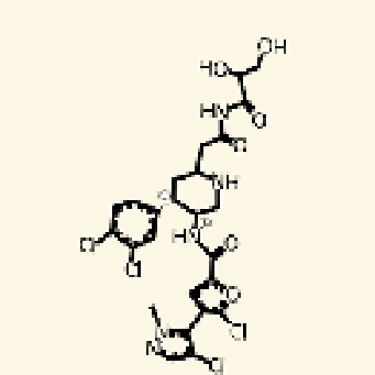 Cn1ncc(Cl)c1-c1cc(C(=O)N[C@@H]2CNC(CC(=O)NC(=O)C(O)CO)C[C@H]2c2ccc(Cl)c(Cl)c2)oc1Cl